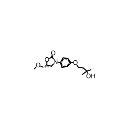 COC[C@H]1CN(c2ccc(OCCC(C)(C)O)cc2)C(=O)O1